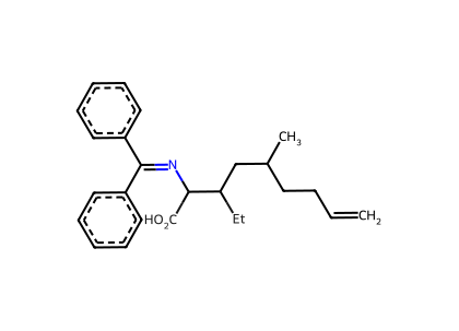 C=CCCC(C)CC(CC)C(N=C(c1ccccc1)c1ccccc1)C(=O)O